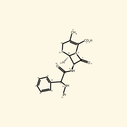 CC1=C(C(=O)O)N2C(=O)[C@@H](NC(=O)C(NC(C)C)c3ccccc3)[C@H]2SC1